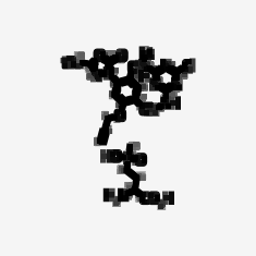 C#CCOc1cc(-n2nc(C(C)(C)C)oc2=O)c(Cl)cc1Cl.CCNc1nc(Cl)nc(NCC)n1.CP(=O)(O)CCC(N)C(=O)O